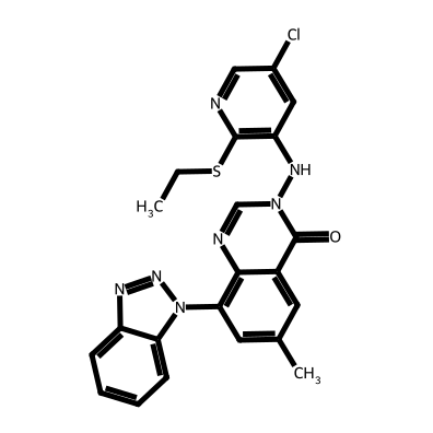 CCSc1ncc(Cl)cc1Nn1cnc2c(-n3nnc4ccccc43)cc(C)cc2c1=O